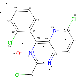 [O-][n+]1c(CCl)nc2ccc(Cl)nc2c1-c1ccccc1Cl